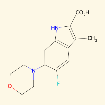 Cc1c(C(=O)O)[nH]c2cc(N3CCOCC3)c(F)cc12